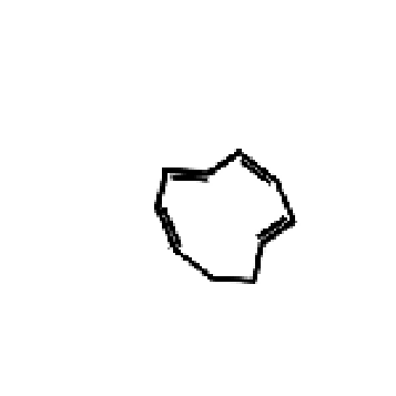 [C]1=C/C=C/C=C\C=C\CC\1